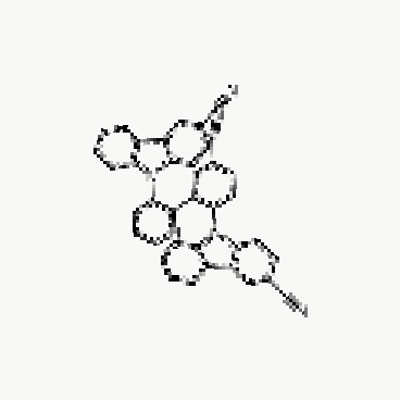 N#Cc1ccc(-n2c3ccccc3c3cc(C#N)ccc32)c(-c2ncccc2-n2c3ccccc3c3cc(C#N)ccc32)c1